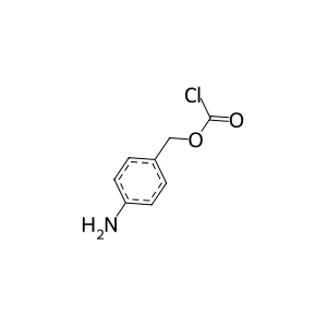 Nc1ccc(COC(=O)Cl)cc1